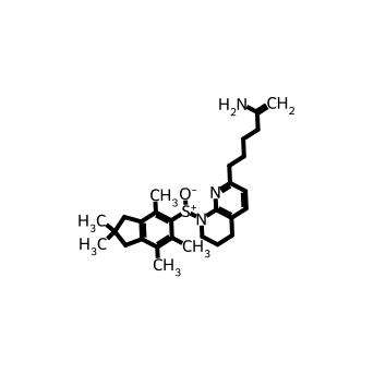 C=C(N)CCCCc1ccc2c(n1)N([S+]([O-])c1c(C)c(C)c3c(c1C)CC(C)(C)C3)CCC2